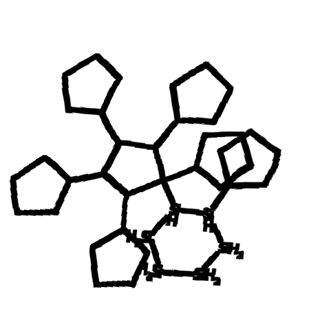 C1CCC(C2C(C3CCCC3)C(C3CCCC3)C(C3CCCC3)([SiH]3[SiH2][SiH2][SiH2][SiH2][SiH]3C3CCCC3)C2C2CCCC2)C1